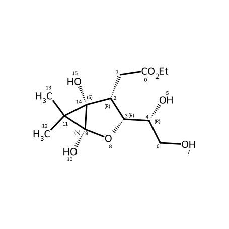 CCOC(=O)C[C@@H]1[C@H]([C@H](O)CO)O[C@@]2(O)C(C)(C)[C@@]12O